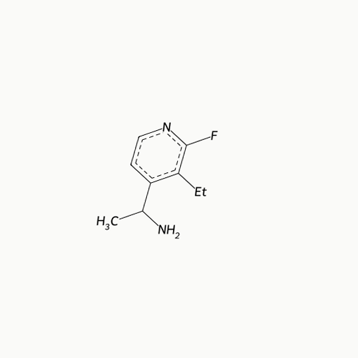 CCc1c(C(C)N)ccnc1F